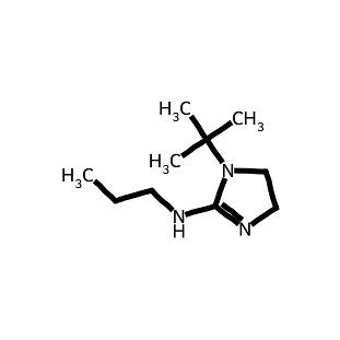 CCCNC1=NCCN1C(C)(C)C